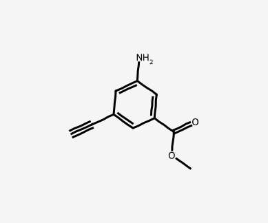 C#Cc1cc(N)cc(C(=O)OC)c1